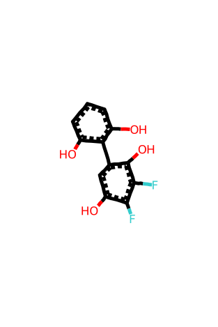 Oc1cc(-c2c(O)cccc2O)c(O)c(F)c1F